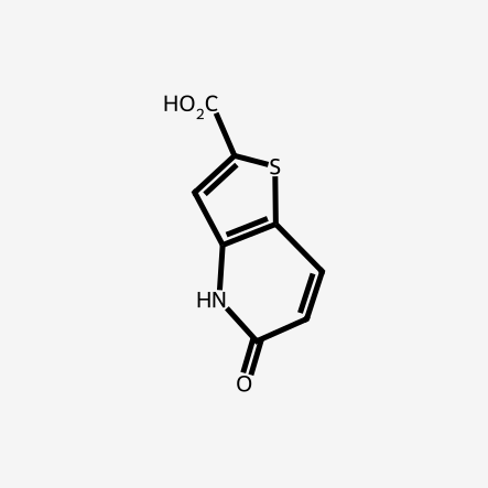 O=C(O)c1cc2[nH]c(=O)ccc2s1